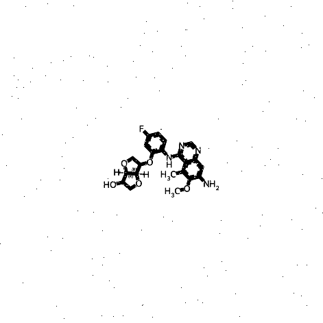 COc1c(N)cc2ncnc(Nc3ccc(F)cc3OC3CO[C@@H]4C(O)CO[C@H]34)c2c1C